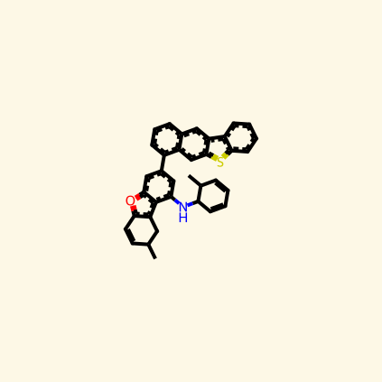 CC1C=Cc2oc3cc(-c4cccc5cc6c(cc45)sc4ccccc46)cc(NC4C=CC=CC4C)c3c2C1